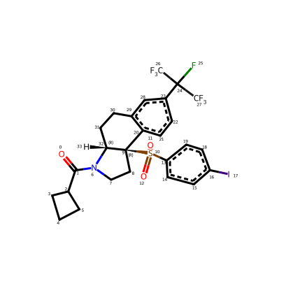 O=C(C1CCC1)N1CC[C@@]2(S(=O)(=O)c3ccc(I)cc3)c3ccc(C(F)(C(F)(F)F)C(F)(F)F)cc3CC[C@@H]12